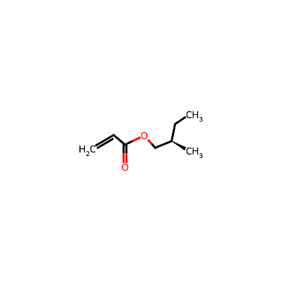 C=CC(=O)OC[C@H](C)CC